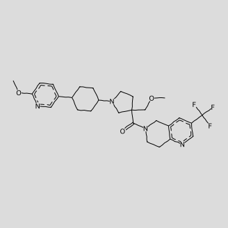 COCC1(C(=O)N2CCc3ncc(C(F)(F)F)cc3C2)CCN(C2CCC(c3ccc(OC)nc3)CC2)C1